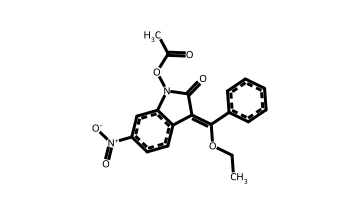 CCOC(=C1C(=O)N(OC(C)=O)c2cc([N+](=O)[O-])ccc21)c1ccccc1